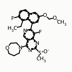 CCc1c(F)ccc2cc(OCOC)cc(-c3ncc4c(N5CCCOCC5)nc([S+](C)[O-])nc4c3F)c12